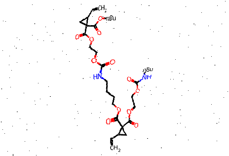 C=CC1CC1(C(=O)OCCCC)C(=O)OCCOC(=O)NCCCCOC(=O)C1(C(=O)OCCOC(=O)NCCCC)CC1C=C